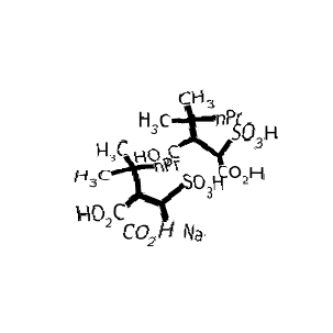 CCCC(C)(C)C(C(=O)O)C(C(=O)O)S(=O)(=O)O.CCCC(C)(C)C(C(=O)O)C(C(=O)O)S(=O)(=O)O.[Na]